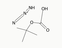 CC(C)(C)OC(=O)O.[N-]=[N+]=N